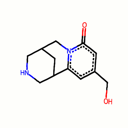 O=c1cc(CO)cc2n1CC1CNCC2C1